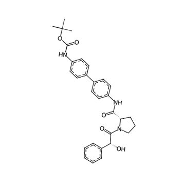 CC(C)(C)OC(=O)Nc1ccc(-c2ccc(NC(=O)[C@@H]3CCCN3C(=O)[C@H](O)c3ccccc3)cc2)cc1